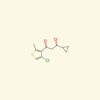 Cc1scc(Cl)c1C(=O)CC(=O)C1CC1